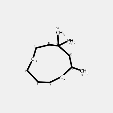 CC1CCCCCCCC(C)(P)C1